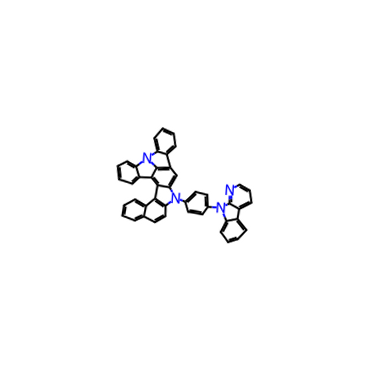 c1ccc2c(c1)ccc1c2c2c3c4ccccc4n4c5ccccc5c(cc2n1-c1ccc(-n2c5ccccc5c5cccnc52)cc1)c34